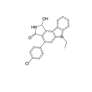 CCn1c2ccccc2c2c3c(c(-c4ccc(Cl)cc4)cc21)C(=O)NC3O